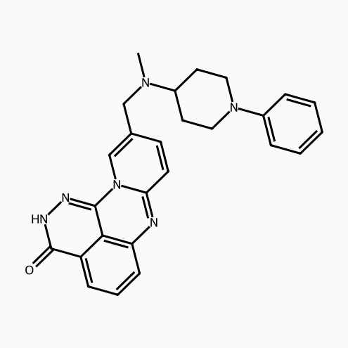 CN(CC1=CN2C(=Nc3cccc4c(=O)[nH]nc2c34)C=C1)C1CCN(c2ccccc2)CC1